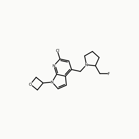 FCC1CCCN1Cc1cc(Cl)nc2c1ccn2C1COC1